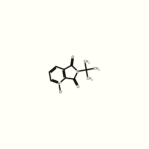 CC(C)(C)N1C(=O)c2ccc[n+]([O-])c2C1=O